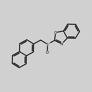 [O-][S+](Cc1ccc2ccccc2c1)c1nc2ccccc2o1